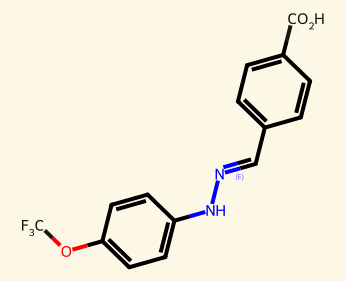 O=C(O)c1ccc(/C=N/Nc2ccc(OC(F)(F)F)cc2)cc1